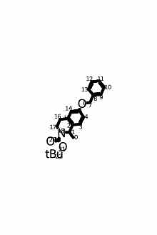 CC1c2ccc(OCc3ccccc3)cc2CCN1C(=O)OC(C)(C)C